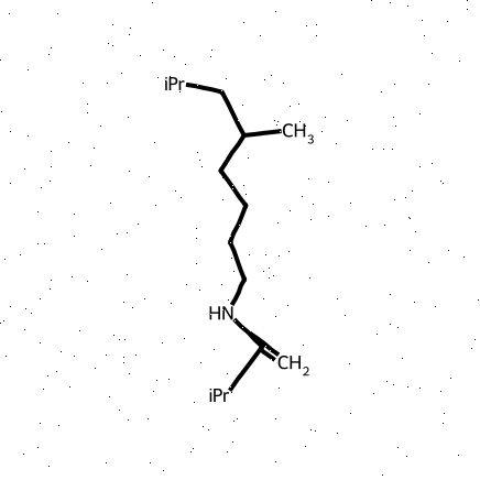 C=C(NCCCCC(C)CC(C)C)C(C)C